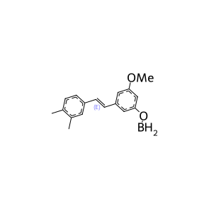 BOc1cc(/C=C/c2ccc(C)c(C)c2)cc(OC)c1